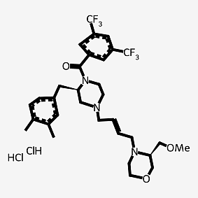 COC[C@H]1COCCN1CC=CCN1CCN(C(=O)c2cc(C(F)(F)F)cc(C(F)(F)F)c2)[C@H](Cc2ccc(C)c(C)c2)C1.Cl.Cl